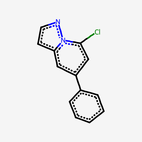 Clc1cc(-c2ccccc2)cc2ccnn12